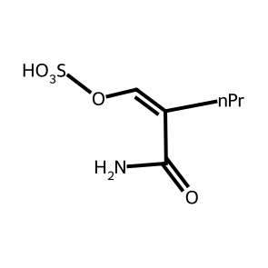 CCCC(=COS(=O)(=O)O)C(N)=O